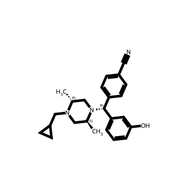 C[C@@H]1CN([C@H](c2ccc(C#N)cc2)c2cccc(O)c2)[C@@H](C)CN1CC1CC1